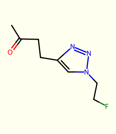 CC(=O)CCc1cn(CCF)nn1